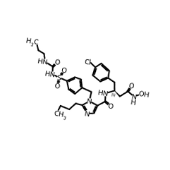 CCCCc1ncc(C(=O)N[C@H](CC(=O)NO)Cc2ccc(Cl)cc2)n1Cc1ccc(S(=O)(=O)NC(=O)NCCC)cc1